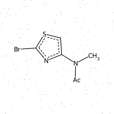 CC(=O)N(C)c1csc(Br)n1